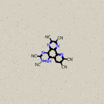 N#CC1=Nc2c(c3cc(C#N)c(C#N)nc3c3nc(C#N)c(C#N)nc23)NN1C#N